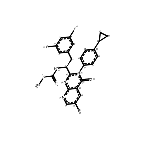 CC(C)(C)OC(=O)N[C@@H](Cc1cc(F)cc(F)c1)c1nc2ncc(Br)cc2c(=O)n1-c1ccc(C2CC2)cc1